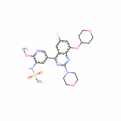 COc1ncc(-c2nc(N3CCOCC3)nc3c(OC4CCOCC4)cc(F)cc23)cc1NS(C)(=O)=O